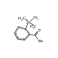 CC(C)(C)C(=O)c1cccc[c]1[Sn]([CH3])([CH3])[CH3]